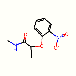 CNC(=O)C(C)Oc1ccccc1[N+](=O)[O-]